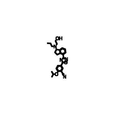 CCCN(CCO)[C@@H]1CCc2c(-c3noc(-c4ccc(OC(C)C)c(C#N)c4)n3)cccc21